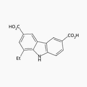 CCc1cc(C(=O)O)cc2c1[nH]c1ccc(C(=O)O)cc12